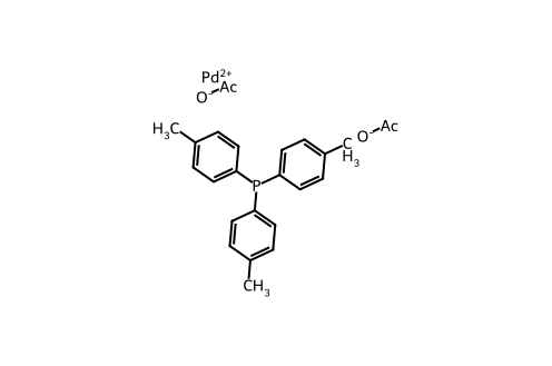 CC(=O)[O-].CC(=O)[O-].Cc1ccc(P(c2ccc(C)cc2)c2ccc(C)cc2)cc1.[Pd+2]